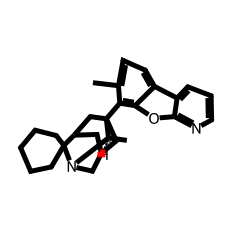 Cc1ccc2c(oc3ncccc32)c1C12CC3CC(C1)C1(CCCCC1)N(C3)[C@@H]2C